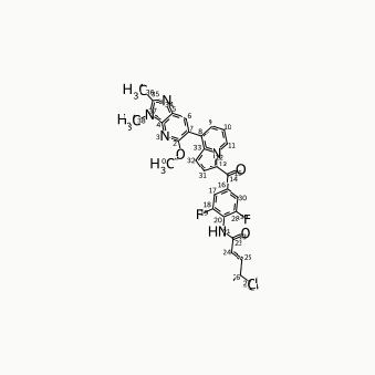 COc1nc2c(cc1-c1cccn3c(C(=O)c4cc(F)c(NC(=O)/C=C/CCl)c(F)c4)ccc13)nc(C)n2C